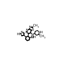 Cc1nc2nnc(-c3c(O)cccc3-c3cn[nH]c3)c(N[C@H]3CCN[C@H](C)C3)c2s1